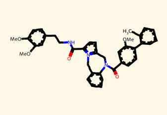 COc1ccc(CCNC(=O)c2ccc3n2Cc2ccccc2N(C(=O)c2ccc(-c4ccccc4C)c(OC)c2)C3)cc1OC